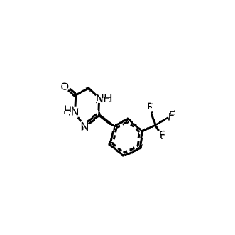 O=C1CNC(c2cccc(C(F)(F)F)c2)=NN1